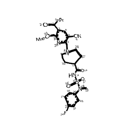 CCCC(=O)c1cc(C#N)c(N2CCC(C(=O)NS(=O)(=O)N(C)c3ccc(F)cc3)CC2)nc1OC